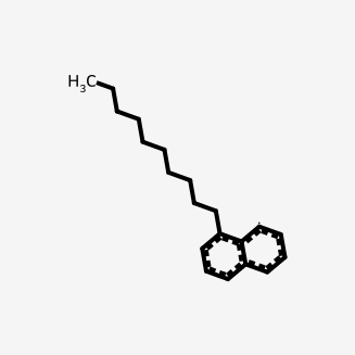 CCCCCCCCCCc1cccc2ccc[c]c12